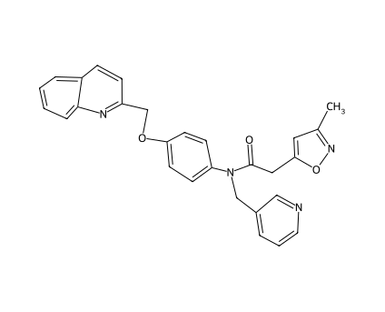 Cc1cc(CC(=O)N(Cc2cccnc2)c2ccc(OCc3ccc4ccccc4n3)cc2)on1